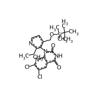 CC(C)c1nccc(CO[Si](C)(C)C(C)(C)C)c1-n1c(=O)[nH]c(=O)c2cc(Cl)c(Cl)nc21